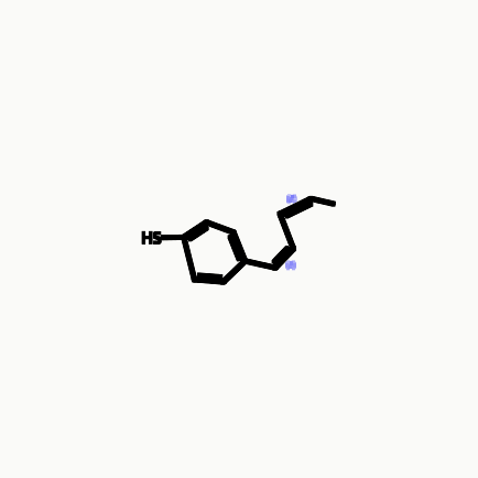 C/C=C\C=C/c1ccc(S)cc1